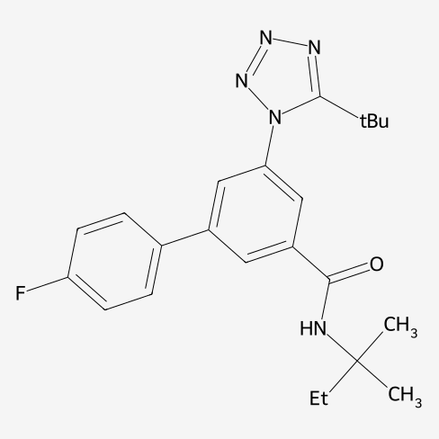 CCC(C)(C)NC(=O)c1cc(-c2ccc(F)cc2)cc(-n2nnnc2C(C)(C)C)c1